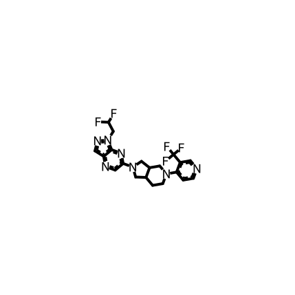 FC(F)Cn1ncc2ncc(N3CC4CCN(c5ccncc5C(F)(F)F)CC4C3)nc21